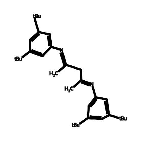 C/C(C/C(C)=N/c1cc(C(C)(C)C)cc(C(C)(C)C)c1)=N\c1cc(C(C)(C)C)cc(C(C)(C)C)c1